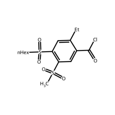 CCCCCCS(=O)(=O)c1cc(CC)c(C(=O)Cl)cc1S(C)(=O)=O